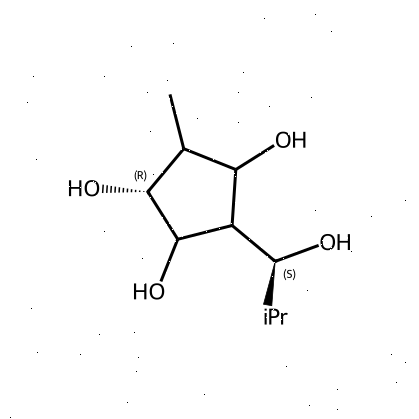 CC(C)[C@H](O)C1C(O)C(C)[C@@H](O)C1O